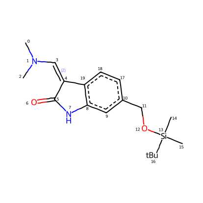 CN(C)/C=C1\C(=O)Nc2cc(CO[Si](C)(C)C(C)(C)C)ccc21